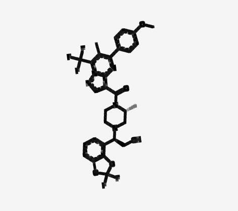 COc1ccc(-c2nc3c(C(=O)N4CCN([C@@H](CO)c5cccc6c5OC(F)(F)O6)C[C@H]4C)cnn3c(C(F)(F)F)c2C)cc1